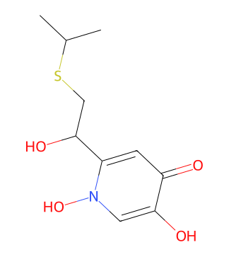 CC(C)SCC(O)c1cc(=O)c(O)cn1O